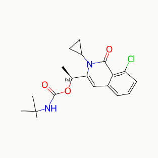 C[C@H](OC(=O)NC(C)(C)C)c1cc2cccc(Cl)c2c(=O)n1C1CC1